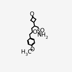 COc1ccc(CCCC(CS(N)(=O)=O)C2CC(=O)C2)cc1